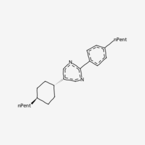 CCCCCc1ccc(-c2ncc([C@H]3CC[C@H](CCCCC)CC3)cn2)cc1